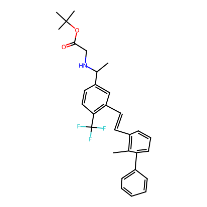 Cc1c(/C=C/c2cc(C(C)NCC(=O)OC(C)(C)C)ccc2C(F)(F)F)cccc1-c1ccccc1